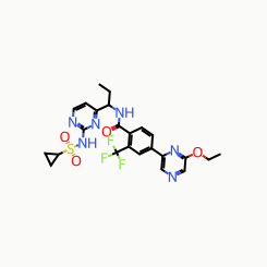 CCOc1cncc(-c2ccc(C(=O)NC(CC)c3ccnc(NS(=O)(=O)C4CC4)n3)c(C(F)(F)F)c2)n1